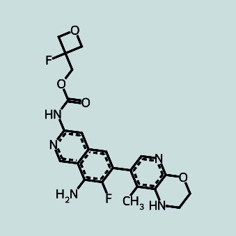 Cc1c(-c2cc3cc(NC(=O)OCC4(F)COC4)ncc3c(N)c2F)cnc2c1NCCO2